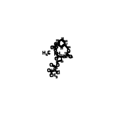 C.CC(=O)N(Cl)C(=O)OCC[C@@H]1NC(=O)OCc2cccc(c2)S(=O)(=O)ONC1=O